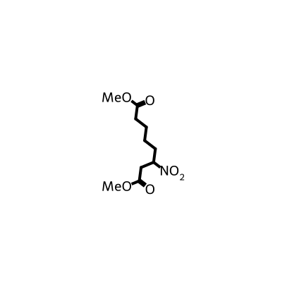 COC(=O)CCCCC(CC(=O)OC)[N+](=O)[O-]